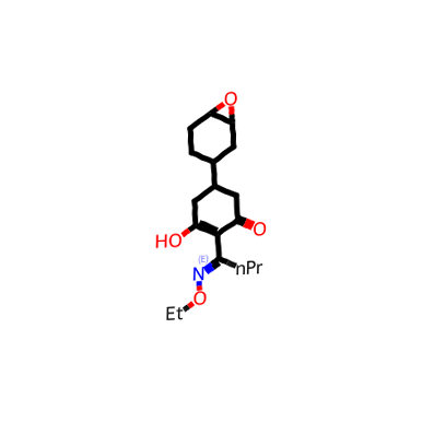 CCC/C(=N\OCC)C1=C(O)CC(C2CCC3OC3C2)CC1=O